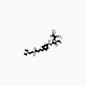 CCN(CC)CCNC(=O)CCCc1ccc(NC[C@H]2S/C(=C(/N)C(N)=O)N(CC)C2=O)cc1